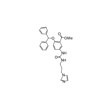 COC(=O)c1cc(NC(=O)NCCCn2ccnc2)ccc1OC(c1ccccc1)c1ccccc1